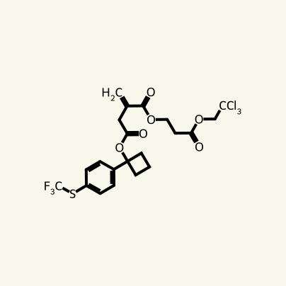 C=C(CC(=O)OC1(c2ccc(SC(F)(F)F)cc2)CCC1)C(=O)OCCC(=O)OCC(Cl)(Cl)Cl